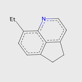 CCc1ccc2c3c(ccnc13)CC2